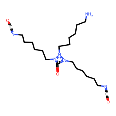 NCCCCCCn1n(CCCCCCN=C=O)c(=O)n1CCCCCCN=C=O